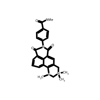 CNC(=O)c1ccc(N2C(=O)c3cccc4c5c(cc(c34)C2=O)C[N+](C)(C)CN5C)cc1